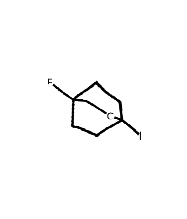 FC12CCC(I)(CC1)CC2